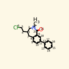 CN1CC(CCCl)Cc2ccc(-c3ccccc3)cc2C1=O